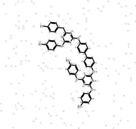 CCc1ccc(Cc2nc(Oc3ccc(CC)cc3)nc(Oc3ccc(-c4ccc(Oc5nc(Oc6ccc(CC)cc6)nc(Oc6ccc(CC)cc6)n5)cc4)cc3)n2)cc1